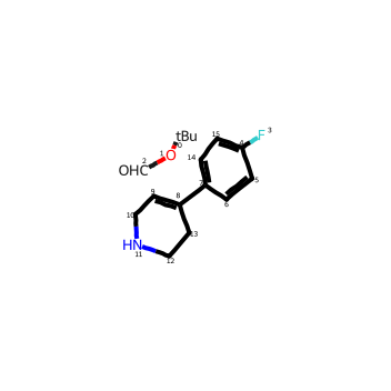 CC(C)(C)OC=O.Fc1ccc(C2=CCNCC2)cc1